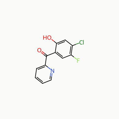 O=C(c1ccccn1)c1cc(F)c(Cl)cc1O